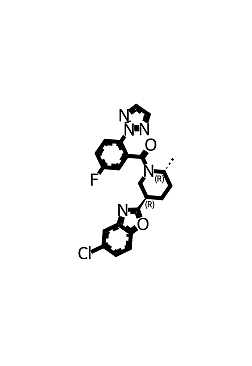 C[C@@H]1CC[C@@H](c2nc3cc(Cl)ccc3o2)CN1C(=O)c1cc(F)ccc1-n1nccn1